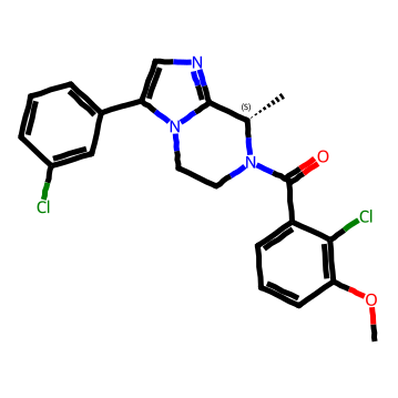 COc1cccc(C(=O)N2CCn3c(-c4cccc(Cl)c4)cnc3[C@@H]2C)c1Cl